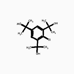 CCc1c(C(C)(C)O)cc(C(C)(C)O)cc1C(C)(C)O